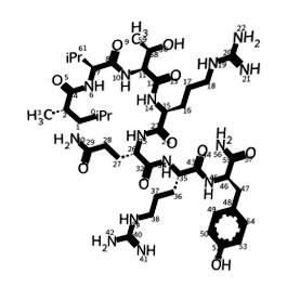 CC(C)C[C@H](C)C(=O)N[C@H](C(=O)N[C@H](C(=O)N[C@@H](CCCNC(=N)N)C(=O)N[C@@H](CCC(N)=O)C(=O)N[C@@H](CCCNC(=N)N)C(=O)N[C@H](Cc1ccc(O)cc1)C(N)=O)[C@@H](C)O)C(C)C